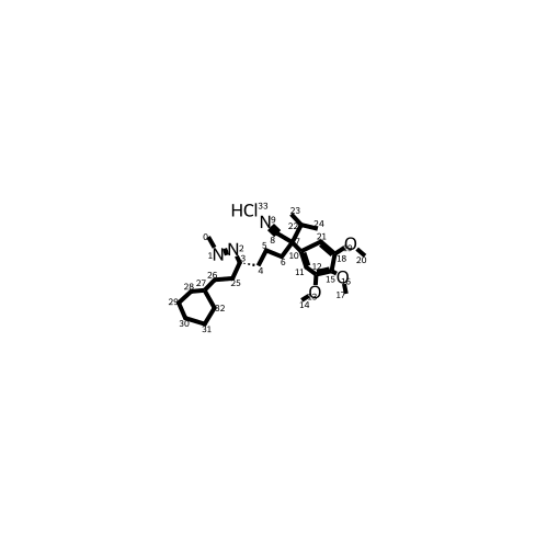 CN=N[C@H](CCCC(C#N)(c1cc(OC)c(OC)c(OC)c1)C(C)C)CCC1CCCCC1.Cl